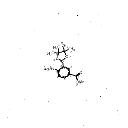 COC(=O)c1ccc(NC(C)=O)c(B2OC(C)(C)C(C)(C)O2)c1